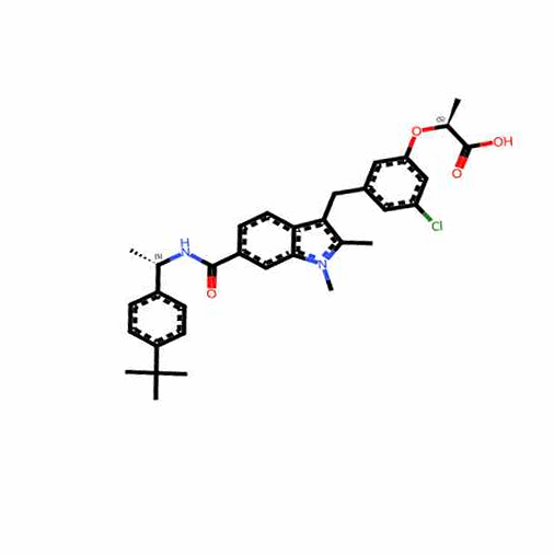 Cc1c(Cc2cc(Cl)cc(O[C@@H](C)C(=O)O)c2)c2ccc(C(=O)N[C@@H](C)c3ccc(C(C)(C)C)cc3)cc2n1C